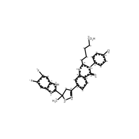 CC1(c2nc3cc(F)c(F)cc3[nH]2)CC(c2ccc3c(=O)n(-c4ccc(Cl)cc4)c(CCCCC(=O)O)nc3c2)=NO1